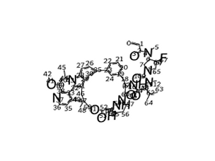 C=CC(=O)N(C)C1CN(C(=O)N(C)[C@H](C(=O)N[C@H]2Cc3cccc(c3)-c3ccc4c(c3)c(c(-c3cccnc3[C@H](C)OC)n4CC)CC(C)(C)COC(=O)[C@@H]3CCCN(N3)C2=O)C(C)C)C[C@@H]1F